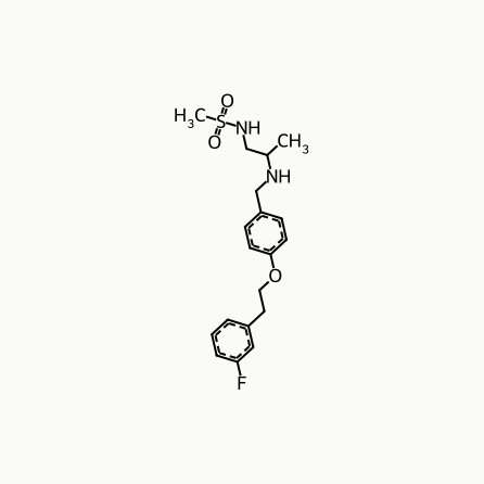 CC(CNS(C)(=O)=O)NCc1ccc(OCCc2cccc(F)c2)cc1